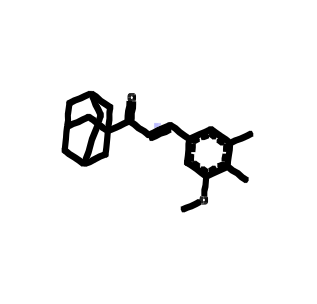 COc1cc(/C=C/C(=O)C23CC4CC(CC(C4)C2)C3)cc(C)c1C